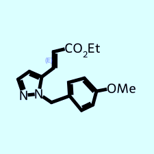 CCOC(=O)/C=C/c1ccnn1Cc1ccc(OC)cc1